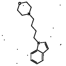 c1ccc2c(c1)ccn2CCCCN1CCOCC1